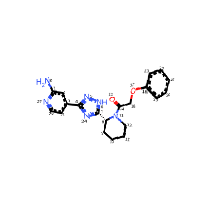 Nc1cc(-c2n[nH]c([C@H]3CCCCN3C(=O)COc3ccccc3)n2)ccn1